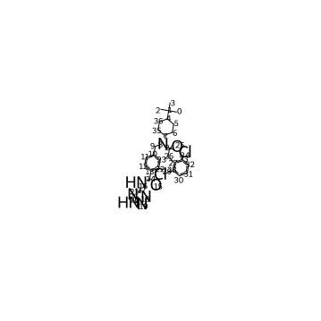 CC(C)(C)C1CCC(N(Cc2ccc(C(=O)Nc3nn[nH]n3)cc2)C(=O)Cc2c(Cl)cccc2Cl)CC1